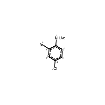 CC(=O)Nc1ncc(Cl)nc1Br